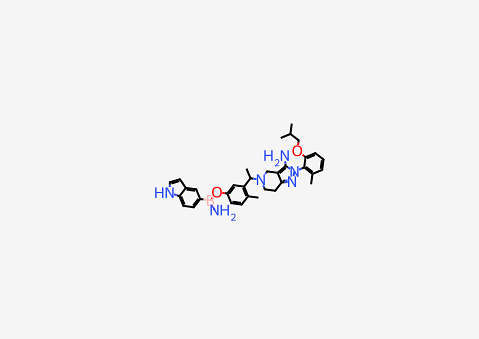 Cc1ccc(OB(N)c2ccc3[nH]ccc3c2)cc1C(C)N1CCc2nn(-c3c(C)cccc3OCC(C)C)c(N)c2C1